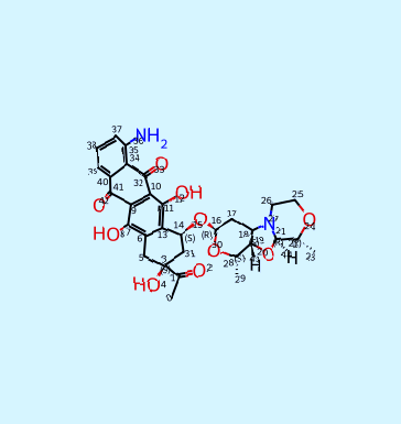 CC(=O)[C@]1(O)Cc2c(O)c3c(c(O)c2[C@@H](O[C@H]2CC4[C@H](O[C@@H]5[C@@H](C)OCCN45)[C@H](C)O2)C1)C(=O)c1c(N)cccc1C3=O